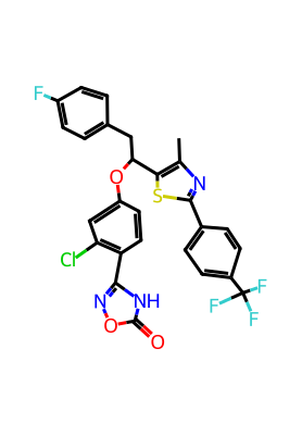 Cc1nc(-c2ccc(C(F)(F)F)cc2)sc1C(Cc1ccc(F)cc1)Oc1ccc(-c2noc(=O)[nH]2)c(Cl)c1